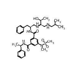 CC(C)CNC[C@@H](NC[C@H](Cc1ccccc1)NC(=O)c1cc(C(=O)N[C@H](C)c2ccccc2)cc(N(C)S(C)(=O)=O)c1)[C@H](C)O